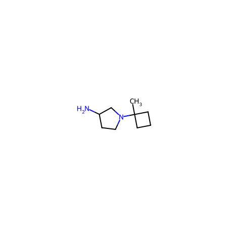 CC1(N2CCC(N)C2)CCC1